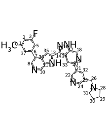 Cc1cc(F)cc(-c2cncc3[nH]c(-c4n[nH]c5cnc(-c6cncc(CN7CCCC7)c6)cc45)cc23)c1